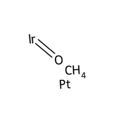 C.[O]=[Ir].[Pt]